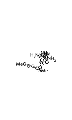 COCCOCCOCCOc1cc(-c2nc(CCc3nc(N)cc(N)n3)c(C(Cc3nc(N)cc(N)n3)c3ccccc3)s2)ccc1OC